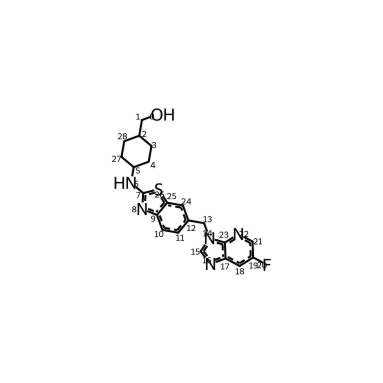 OCC1CCC(Nc2nc3ccc(Cn4cnc5cc(F)cnc54)cc3s2)CC1